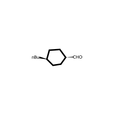 CCCC[C@H]1CC[C@H]([C]=O)CC1